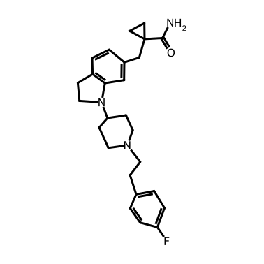 NC(=O)C1(Cc2ccc3c(c2)N(C2CCN(CCc4ccc(F)cc4)CC2)CC3)CC1